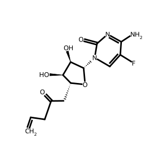 C=CCC(=O)C[C@H]1O[C@@H](n2cc(F)c(N)nc2=O)[C@H](O)[C@@H]1O